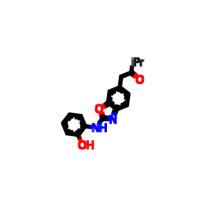 CC(C)C(=O)Cc1ccc2nc(Nc3ccccc3O)oc2c1